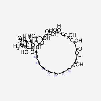 C[C@@H]1[C@H](O)[C@@H](C)/C=C/C=C/C=C/C=C/C=C/C=C/C=C/[C@H](O[C@@H]2O[C@H](C)[C@@H](O)[C@H](N)[C@@H]2O)C[C@@H]2O[C@](O)(C[C@@H](O)C[C@@H](O)[C@H](O)CC[C@@H](O)C[C@@H](O)CC(=O)O[C@H]1C)C[C@H](O)[C@H]2NC(=O)NNS(C)(=O)=O